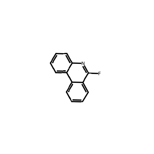 Fc1nc2ccccc2c2ccccc12